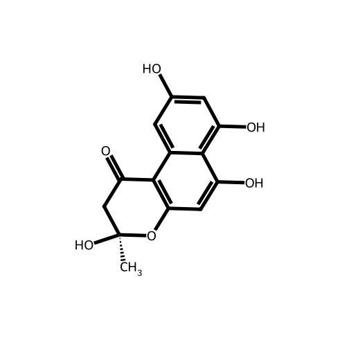 C[C@]1(O)CC(=O)c2c(cc(O)c3c(O)cc(O)cc23)O1